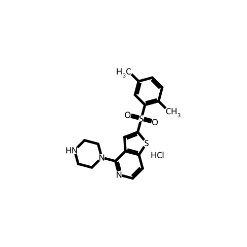 Cc1ccc(C)c(S(=O)(=O)c2cc3c(N4CCNCC4)nccc3s2)c1.Cl